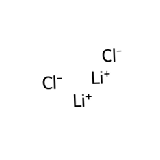 [Cl-].[Cl-].[Li+].[Li+]